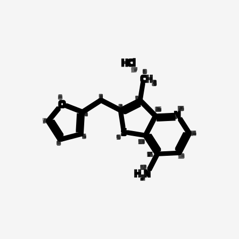 Cc1c(Cc2ccco2)sc2c(N)ccnc12.Cl